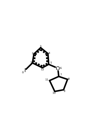 Ic1cccc(OC2CCCC2)c1